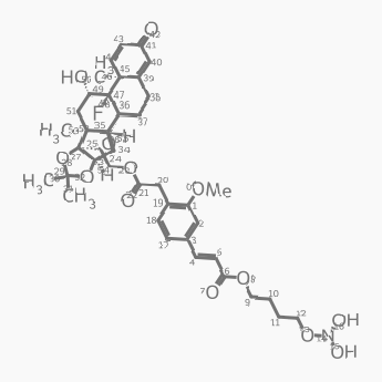 COc1cc(/C=C/C(=O)OCCCCON(O)O)ccc1CC(=O)OCC(=O)[C@@]12OC(C)(C)O[C@@H]1C[C@H]1C3CCC4=CC(=O)C=C[C@]4(C)[C@@]3(F)[C@@H](O)C[C@@]12C